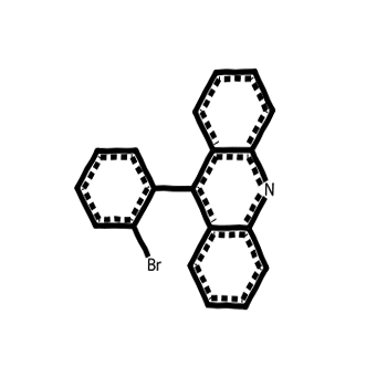 Brc1ccccc1-c1c2ccccc2nc2ccccc12